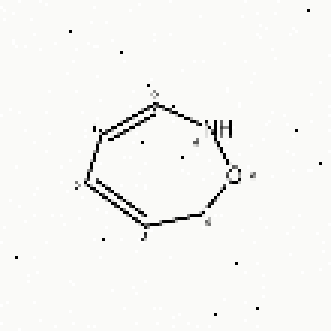 [C]1=CC=CCON1